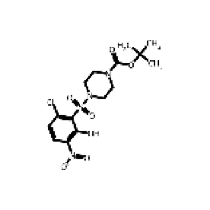 CC(C)(C)OC(=O)N1CCN(S(=O)(=O)c2c(Cl)ccc([N+](=O)[O-])c2O)CC1